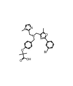 Cc1oc(-c2cccc(Br)c2)nc1CN(Cc1ccc(OC(C)(C)C(=O)O)cc1)Cc1nccn1C